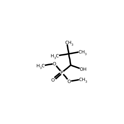 COP(=O)(OC)C(O)C(C)(C)C